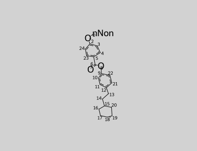 CCCCCCCCCOc1ccc(C(=O)Oc2ccc(CCC3CC[CH]CC3)cc2)cc1